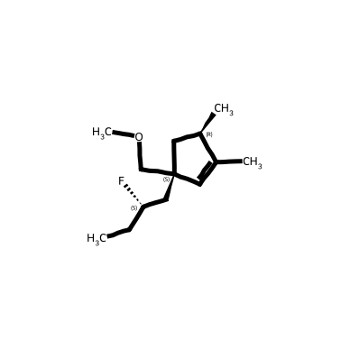 CC[C@H](F)C[C@]1(COC)C=C(C)[C@H](C)C1